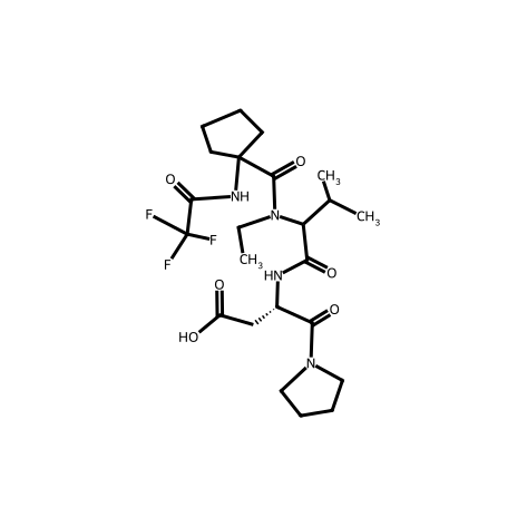 CCN(C(=O)C1(NC(=O)C(F)(F)F)CCCC1)C(C(=O)N[C@@H](CC(=O)O)C(=O)N1CCCC1)C(C)C